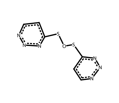 c1cc(SOSc2ccnnn2)nnn1